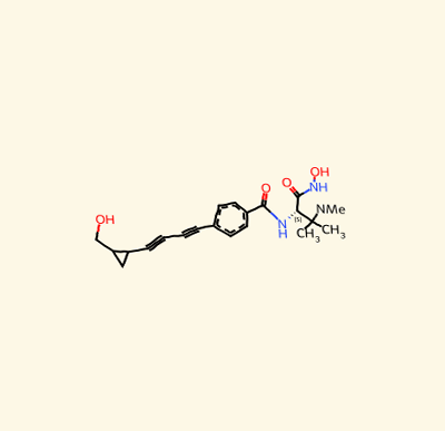 CNC(C)(C)[C@H](NC(=O)c1ccc(C#CC#CC2CC2CO)cc1)C(=O)NO